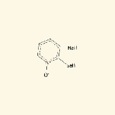 [NaH].[O-][n+]1ccccc1[SeH]